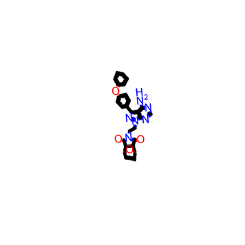 Nc1ncnc2c1c(-c1ccc(Oc3ccccc3)cc1)nn2CCN1C(=O)C2C3C=CC(O3)C2C1=O